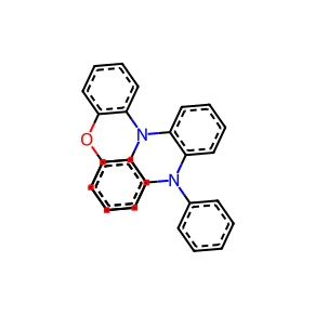 c1ccc(N(c2ccccc2)c2ccccc2N2c3ccccc3Oc3ccccc32)cc1